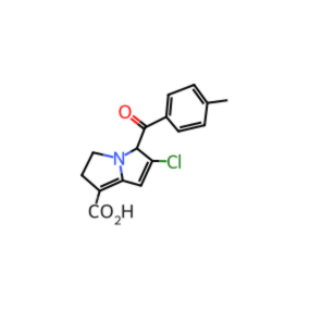 Cc1ccc(C(=O)C2C(Cl)=CC3=C(C(=O)O)CCN32)cc1